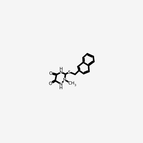 CN1NC(=O)C(=O)NC1SCc1ccc2ccccc2c1